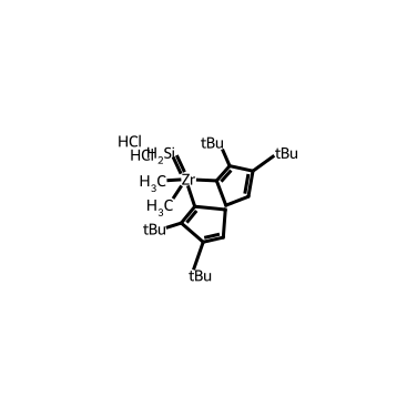 CC(C)(C)C1=CC[C]([Zr]([CH3])([CH3])(=[SiH2])[C]2=C(C(C)(C)C)C(C(C)(C)C)=CC2)=C1C(C)(C)C.Cl.Cl